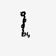 CCCCCOCCOCCc1cc[c]cc1